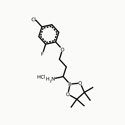 CC1(C)OB(C(N)CCOc2ccc(Cl)cc2F)OC1(C)C.Cl